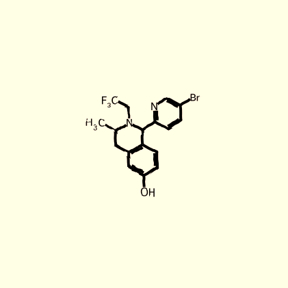 C[C@@H]1Cc2cc(O)ccc2C(c2ccc(Br)cn2)N1CC(F)(F)F